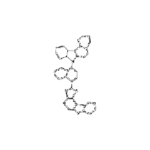 C1=CC2c3c(ccc4ccccc34)N(c3ccc(-c4nc5ccc6sc7ccccc7c6c5o4)c4ccccc34)C2C=C1